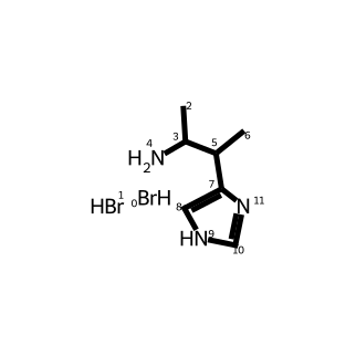 Br.Br.CC(N)C(C)c1c[nH]cn1